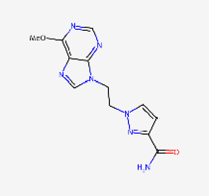 COc1ncnc2c1ncn2CCn1c[c]c(C(N)=O)n1